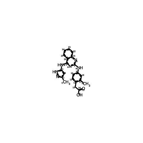 Cc1cc(Nc2nc(Nc3ccc(CC(=O)O)c(C)c3)nc3ccccc23)[nH]n1